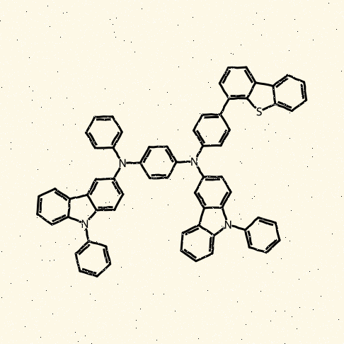 c1ccc(N(c2ccc(N(c3ccc(-c4cccc5c4sc4ccccc45)cc3)c3ccc4c(c3)c3ccccc3n4-c3ccccc3)cc2)c2ccc3c(c2)c2ccccc2n3-c2ccccc2)cc1